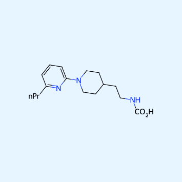 CCCc1cccc(N2CCC(CCNC(=O)O)CC2)n1